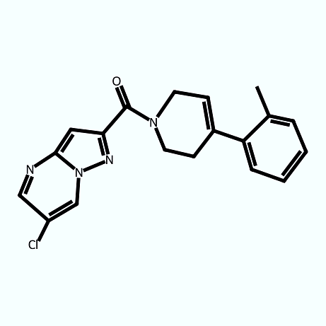 Cc1ccccc1C1=CCN(C(=O)c2cc3ncc(Cl)cn3n2)CC1